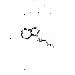 CCNn1ccc2ccccc21